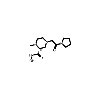 CN1CCN(CC(=O)N2CCCC2)C[C@@H]1C(=O)NO